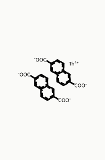 O=C([O-])c1ccc2cc(C(=O)[O-])ccc2c1.O=C([O-])c1ccc2cc(C(=O)[O-])ccc2c1.[Th+4]